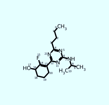 CCCCc1nc(NC(C)C)nc(C2=C(F)C(O)CCC2)n1